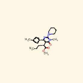 CCCC(C(=O)OC)c1c(-c2ccc(C)cc2)nc(N2CCCCC2)n(C)c1=O